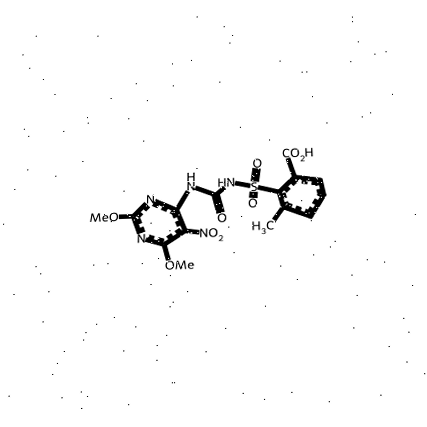 COc1nc(NC(=O)NS(=O)(=O)c2c(C)cccc2C(=O)O)c([N+](=O)[O-])c(OC)n1